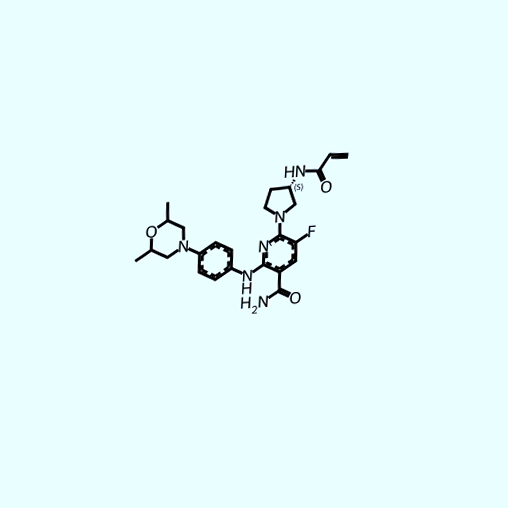 C=CC(=O)N[C@H]1CCN(c2nc(Nc3ccc(N4CC(C)OC(C)C4)cc3)c(C(N)=O)cc2F)C1